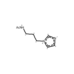 CC(=O)NCCCn1ccnc1